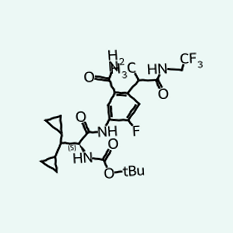 CC(C(=O)NCC(F)(F)F)c1cc(F)c(NC(=O)[C@@H](NC(=O)OC(C)(C)C)C(C2CC2)C2CC2)cc1C(N)=O